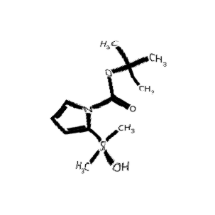 CC(C)(C)OC(=O)n1cccc1[Si](C)(C)O